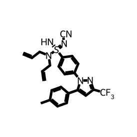 C=CCN(CC=C)S(=N)(=NC#N)c1ccc(-n2nc(C(F)(F)F)cc2-c2ccc(C)cc2)cc1